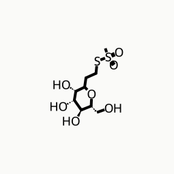 CS(=O)(=O)SCCC1O[C@H](CO)[C@@H](O)[C@H](O)[C@@H]1O